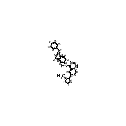 Cn1ccnc1-c1ccc2ncnc(Nc3ccc4c(cnn4Cc4ccccc4)c3)c2c1